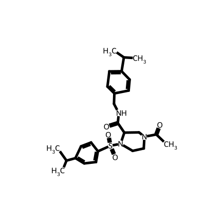 CC(=O)N1CCN(S(=O)(=O)c2ccc(C(C)C)cc2)C(C(=O)NCc2ccc(C(C)C)cc2)C1